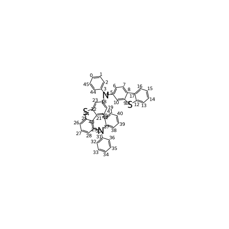 c1ccc(N(c2ccc3c(c2)sc2ccccc23)c2ccc3c(c2)sc2cccc(N(c4ccccc4)c4ccccc4)c23)cc1